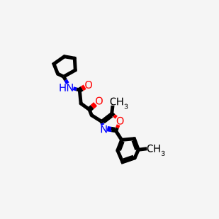 Cc1cccc(-c2nc(CC(=O)CC(=O)NC3CCCCC3)c(C)o2)c1